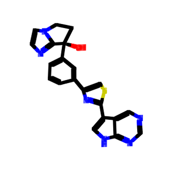 O[C@]1(c2cccc(-c3csc(-c4c[nH]c5ncncc45)n3)c2)CCn2ccnc21